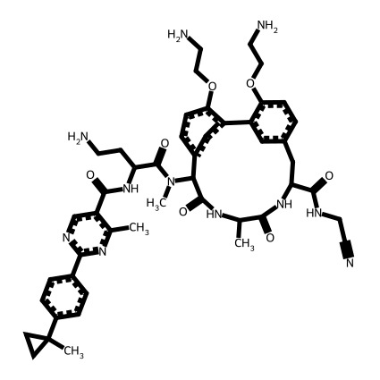 Cc1nc(-c2ccc(C3(C)CC3)cc2)ncc1C(=O)NC(CCN)C(=O)N(C)C1C(=O)NC(C)C(=O)NC(C(=O)NCC#N)Cc2ccc(OCCN)c(c2)-c2cc1ccc2OCCN